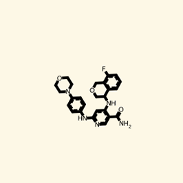 NC(=O)c1cnc(Nc2ccc(N3CCOCC3)cc2)cc1NC1COCc2c(F)cccc21